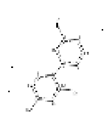 Cc1ccc(-c2cccc(I)c2)c(C)c1